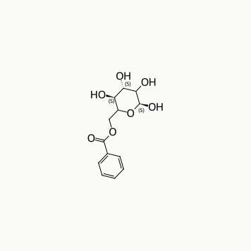 O=C(OCC1O[C@H](O)C(O)[C@@H](O)[C@@H]1O)c1ccccc1